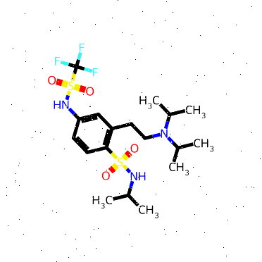 CC(C)NS(=O)(=O)c1ccc(NS(=O)(=O)C(F)(F)F)cc1CCN(C(C)C)C(C)C